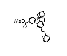 COC(=O)c1ccc([C@]2(c3ccc(CCc4ccccn4)cc3)CC3CC[C@@H]2C3)cc1